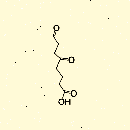 O=CCCC(=O)CCCC(=O)O